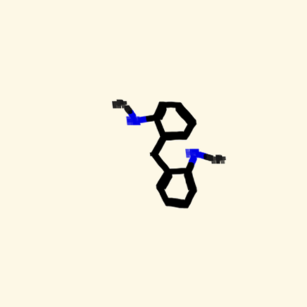 CCCNc1ccccc1[CH]c1ccccc1NCCC